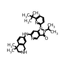 CC(C)n1c(=O)c2cnc(Nc3ccc4c(c3)CNCC4(C)C)cc2n1-c1cccc(C(C)(C)C)n1